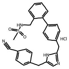 CS(=O)(=O)NCc1ccccc1-c1ccc(Cc2ncc(Cc3ccc(C#N)cc3)[nH]2)cc1.Cl